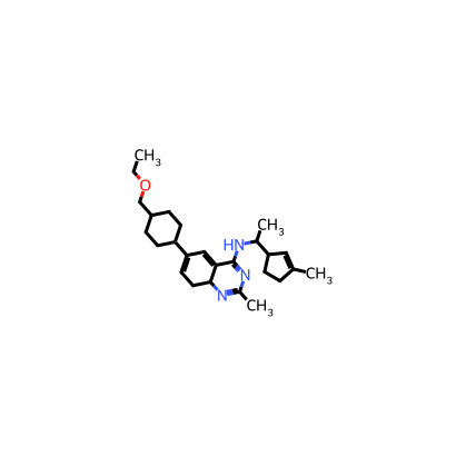 CCOCC1CCC(C2=CCC3N=C(C)N=C(NC(C)C4C=C(C)CC4)C3=C2)CC1